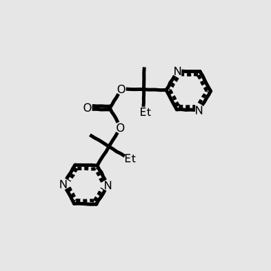 CCC(C)(OC(=O)OC(C)(CC)c1cnccn1)c1cnccn1